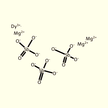 [Dy+3].[Mg+2].[Mg+2].[Mg+2].[O]=[Sb]([O-])([O-])[O-].[O]=[Sb]([O-])([O-])[O-].[O]=[Sb]([O-])([O-])[O-]